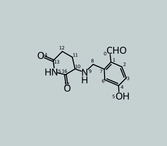 O=Cc1ccc(O)cc1CNC1CCC(=O)NC1=O